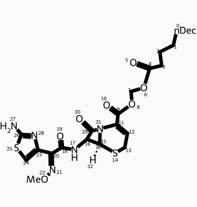 CCCCCCCCCCCCCC(=O)OCOC(=O)C1=CCS[C@H]2C(NC(=O)C(=NOC)c3csc(N)n3)C(=O)N12